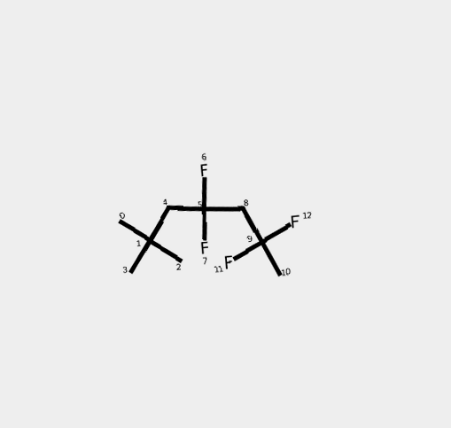 CC(C)(C)CC(F)(F)CC(C)(F)F